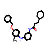 CSc1cc(OCc2ccccc2)ccc1Nc1cccc(NC(=O)CCC2CCCCC2)c1